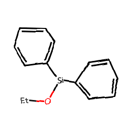 CCO[Si](c1ccccc1)c1ccccc1